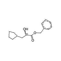 O=C(OCc1ccccc1)[C@H](O)CC1CCCC1